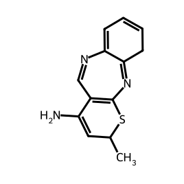 CC1C=C(N)C2=C(N=C3CC=CC=C3N=C2)S1